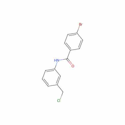 O=C(Nc1cccc(CCl)c1)c1ccc(Br)cc1